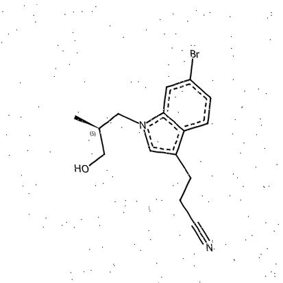 C[C@H](CO)Cn1cc(CCC#N)c2ccc(Br)cc21